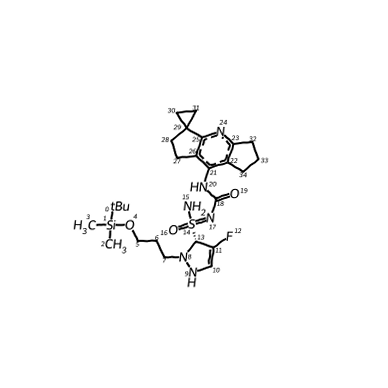 CC(C)(C)[Si](C)(C)OCCCN1NC=C(F)[C@H]1S(N)(=O)=NC(=O)Nc1c2c(nc3c1CCC31CC1)CCC2